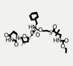 CCOC(=O)NCC(C)(C)C(=O)SCCOP(=O)(NCc1ccccc1)OC[C@@H]1C[C@H](C)[C@H](n2ccc(=O)[nH]c2=O)O1